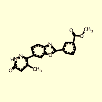 COC(=O)c1cccc(-c2nc3ccc(-c4n[nH]c(=O)cc4C)cc3o2)c1